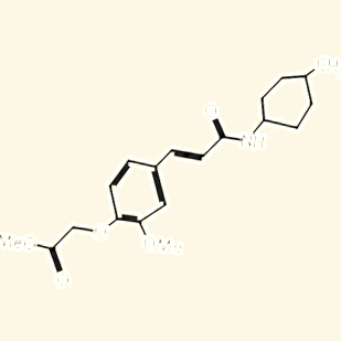 COC(=O)COc1ccc(C=CC(=O)NC2CCC(C)CC2)cc1OC